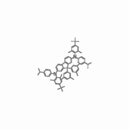 Cc1cc(C)cc(C2(c3cc(C)cc(C)c3)c3cc(N(c4ccc(C(C)C)cc4)c4c(C)cc(C(C)(C)C)cc4C)ccc3-c3ccc(N(c4ccc(C(C)C)cc4)c4c(C)cc(C(C)(C)C)cc4C)cc32)c1